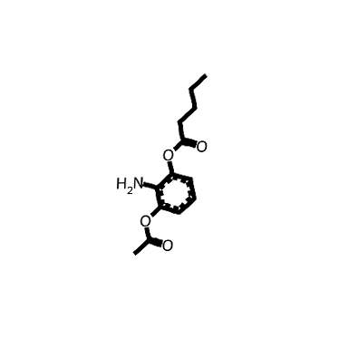 CCCCC(=O)Oc1cccc(OC(C)=O)c1N